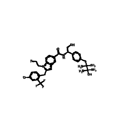 BC(B)(O)C(B)(B)Sc1ccc(C(CO)NC(=O)c2ccc3c(c2)cc(Cc2ccc(Cl)cc2C(F)(F)F)n3CCF)cc1